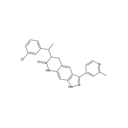 Cc1cc(-c2n[nH]c3cc4c(cc23)CC(C(C)c2cccc(Cl)c2)C(=O)N4)ccn1